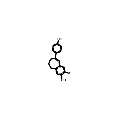 Oc1ccc(C2=Cc3cc(F)c(O)cc3CCC2)cc1